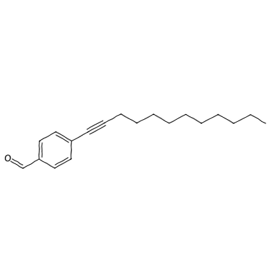 CCCCCCCCCCC#Cc1ccc(C=O)cc1